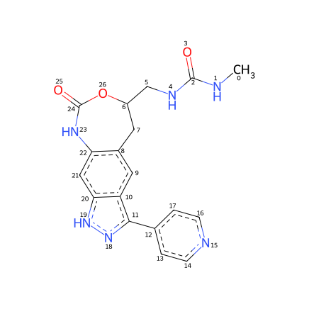 CNC(=O)NCC1Cc2cc3c(-c4ccncc4)n[nH]c3cc2NC(=O)O1